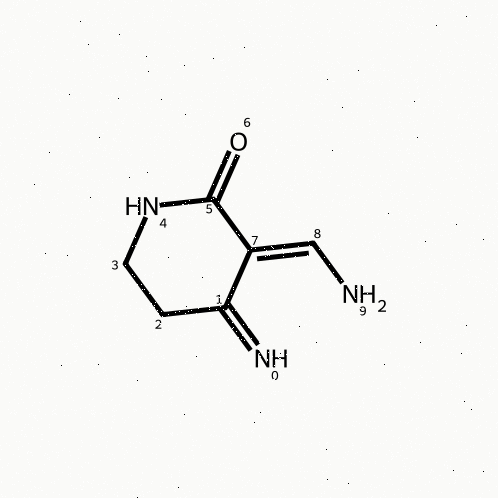 N=C1CCNC(=O)/C1=C/N